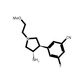 COCCN1C[C@@H](N)[C@H](c2cc(F)cc(C#N)c2)C1